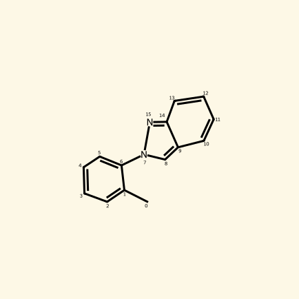 Cc1ccccc1-n1cc2ccccc2n1